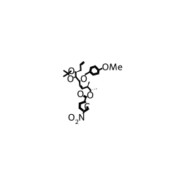 C=CC[C@@H]1OC(C)(C)O[C@@H]1[C@@H](/C=C\[C@@H](C)[C@H](C)OC(=O)c1ccc([N+](=O)[O-])cc1)OCc1ccc(OC)cc1